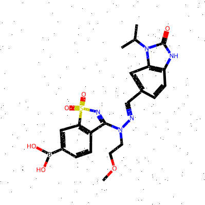 COCCN(/N=C/c1ccc2[nH]c(=O)n(C(C)C)c2c1)C1=NS(=O)(=O)c2cc(B(O)O)ccc21